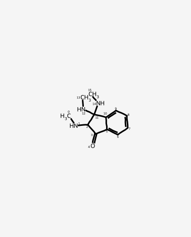 CNC1C(=O)c2ccccc2C1(NC)NC